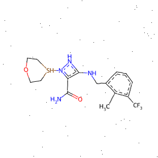 Cc1c(CNc2[nH]n([SH]3CCOCC3)c2C(N)=O)cccc1C(F)(F)F